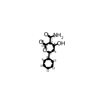 NC(=O)c1c(O)cc(-c2ccccc2)oc1=O